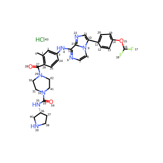 Cc1cc(Nc2nccn3c(-c4ccc(OC(F)F)cc4)cnc23)ccc1C(=O)N1CCN(C(=O)N[C@@H]2CCNC2)CC1.Cl